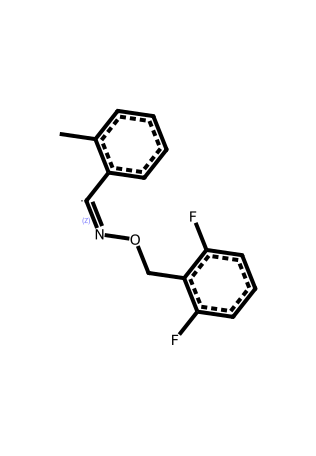 Cc1ccccc1/[C]=N\OCc1c(F)cccc1F